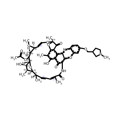 CO[C@H]1/C=C/O[C@@]2(C)Oc3c(C)c(O)c4c(=O)c(c5oc6cc(OCC7CCN(C)C7)ccc6nc-5c4c3C2=O)NC(=O)/C(C)=C\C=C\[C@H](C)[C@@H]2O[C@H]([C@H](O)[C@@H]2C)[C@H](OC(C)=O)[C@@H]1C